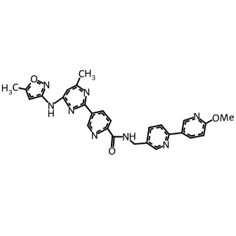 COc1ccc(-c2ccc(CNC(=O)c3ccc(-c4nc(C)cc(Nc5cc(C)on5)n4)cn3)cn2)cn1